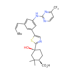 CC(C)(C)/C=C\c1cc(Nc2nccc(C(F)(F)F)n2)cc(-c2cnc([C@]3(O)CC[C@@H](C(=O)O)C(C)(C)C3)s2)c1